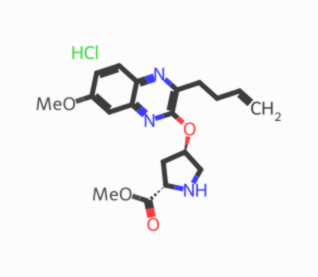 C=CCCc1nc2ccc(OC)cc2nc1O[C@H]1CN[C@H](C(=O)OC)C1.Cl